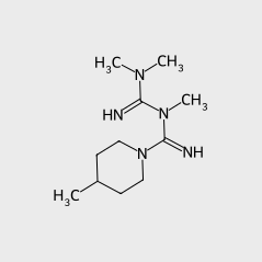 CC1CCN(C(=N)N(C)C(=N)N(C)C)CC1